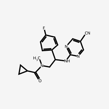 CN(CC(Nc1ncc(C#N)cn1)c1ccc(F)cc1)C(=O)C1CC1